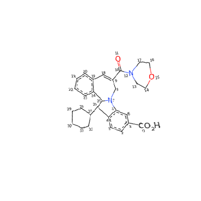 O=C(O)c1ccc2c(c1)N1CC(C(=O)N3CCOCC3)=Cc3ccccc3C1C2C1CCCCC1